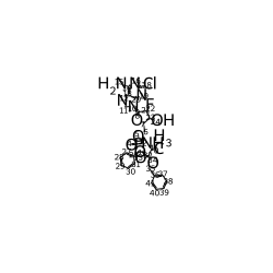 C[C@H](NP(=O)(OC[C@H]1O[C@@H](n2cnc3c(N)nc(Cl)nc32)C(F)C1O)Oc1ccccc1)C(=O)OCc1ccccc1